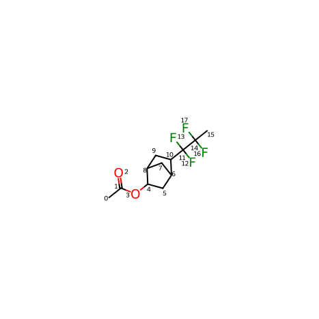 CC(=O)OC1CC2CC1CC2C(F)(F)C(C)(F)F